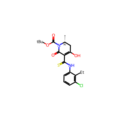 CCc1c(Cl)cccc1NC(=S)C1=C(O)C[C@@H](C)N(C(=O)OC(C)(C)C)C1=O